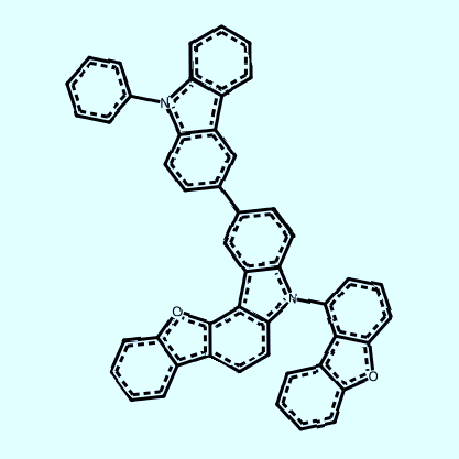 c1ccc(-n2c3ccccc3c3cc(-c4ccc5c(c4)c4c6oc7ccccc7c6ccc4n5-c4cccc5oc6ccccc6c45)ccc32)cc1